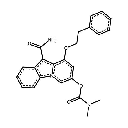 CN(C)C(=O)Oc1cc(OCCc2ccccc2)c2c(C(N)=O)c3ccccc3n2c1